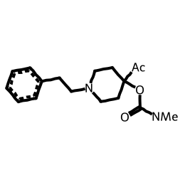 CNC(=O)OC1(C(C)=O)CCN(CCc2ccccc2)CC1